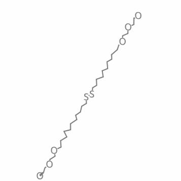 O=CCOCCOCCCCCCCCCCCSSCCCCCCCCCCCOCCOCC=O